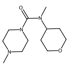 CN1CCN(C(=O)N(C)C2CCOCC2)CC1